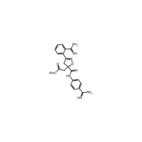 COC(=O)CC1(C(=O)Nc2ccc(C(=N)N)cc2)CC(c2ccccc2C(=N)N)=NO1